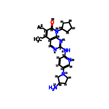 CC(=O)c1c(C)c2cnc(Nc3ccc(N4CCC(N)C4)cn3)nc2n(C2CCCC2)c1=O